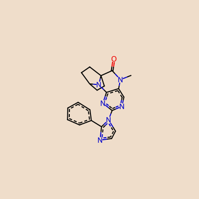 CN1C(=O)C23CCC(CC2)N3c2nc(-n3ccnc3-c3ccccc3)ncc21